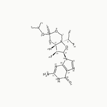 CC(C)OP1(=S)OC[C@@]2(C(F)F)O[C@@H](n3cnc4c(=O)[nH]c(N)nc43)[C@@H](F)[C@@H]2O1